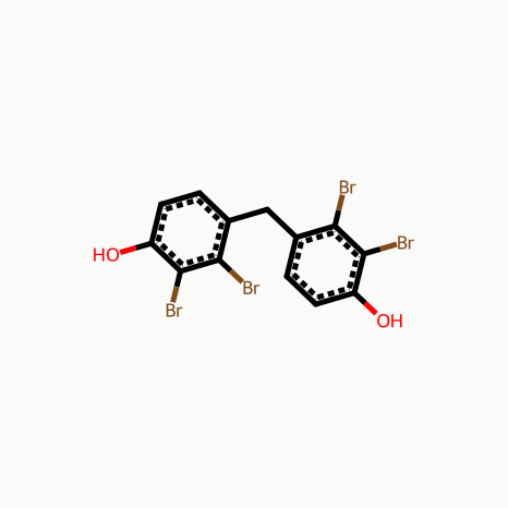 Oc1ccc(Cc2ccc(O)c(Br)c2Br)c(Br)c1Br